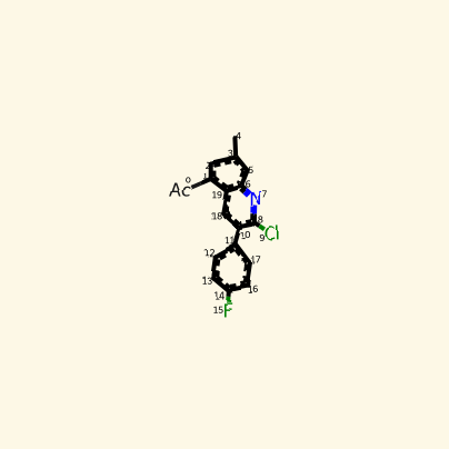 CC(=O)c1cc(C)cc2nc(Cl)c(-c3ccc(F)cc3)cc12